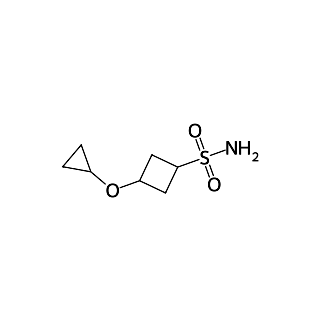 NS(=O)(=O)C1CC(OC2CC2)C1